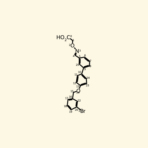 O=C(O)CON=Cc1cccc(-c2ccc(OCc3cccc(Br)c3)cc2)c1